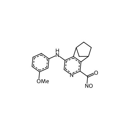 COc1cccc(Nc2cnc(C(=O)N=O)c3c2C2CCC3C2)c1